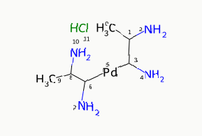 CC(N)[CH](N)[Pd][CH](N)C(C)N.Cl